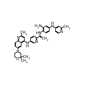 C=C(Nc1ccc(Nc2ccnc(C)c2)cc1N)c1ccc(Nc2cc(C)nc3ccc(N4CCOC(C)(C)C4)cc23)cn1